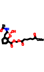 CCC(=O)NC1Cc2cccc(C(=O)OCOC(=O)CCCCC(=O)OC)c2OB1O